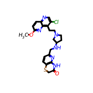 COc1ccc2ncc(Cl)c(CCN3CCC(NCc4ccc5c(n4)NC(=O)CS5)C3)c2n1